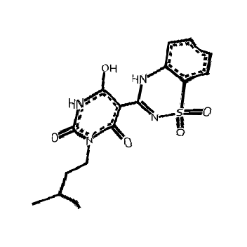 CC(C)CCn1c(=O)[nH]c(O)c(C2=NS(=O)(=O)c3ccccc3N2)c1=O